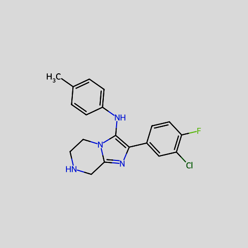 Cc1ccc(Nc2c(-c3ccc(F)c(Cl)c3)nc3n2CCNC3)cc1